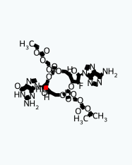 CCOC(=O)OCOP1(=O)OC[C@H]2O[C@@H](n3cnc4c(N)ncnc43)C(F)C2OP(=O)(OCOC(=O)OC(C)C)OC[C@H]2O[C@@H](n3cnc4c(=O)[nH]c(N)nc43)C(O1)C2O